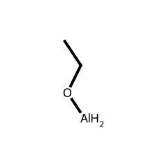 CC[O][AlH2]